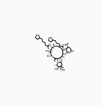 CC[C@H]1OC(=O)[C@H](C)[C@@H](O[C@H]2C[C@@](C)(OC)[C@@H](O)[C@H](C)O2)[C@H](C)[C@@H](O[C@@H]2O[C@H](C)C[C@H](N(C)C)[C@H]2OC(=O)CCCCC2CCSS2)C(=O)C[C@@H](C)CN(C)[C@H](C)[C@@H](CC(=O)CCCCC2CCSS2)[C@]1(C)O